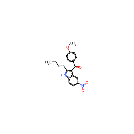 CCCCc1[nH]c2ccc([N+](=O)[O-])cc2c1C(=O)c1ccc(OC)cc1